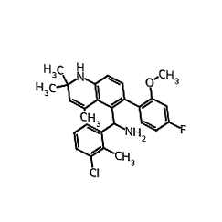 COc1cc(F)ccc1-c1ccc2c(c1C(N)c1cccc(Cl)c1C)C(C)=CC(C)(C)N2